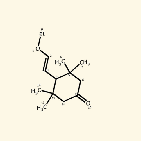 CCOC=CC1C(C)(C)CC(=O)CC1(C)C